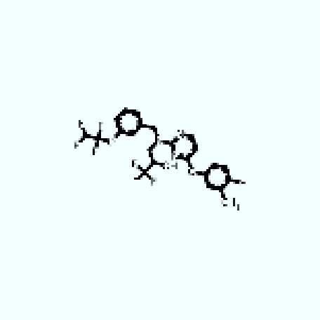 Cc1cc(Oc2ccnc(N(Cc3cccc(OC(F)(F)C(F)F)c3)CC(O)C(F)(F)F)n2)ccc1F